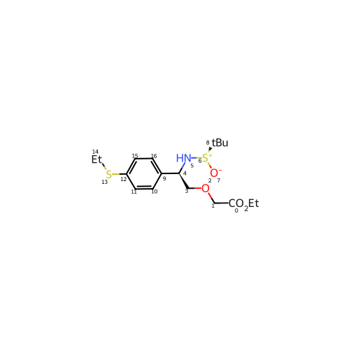 CCOC(=O)COC[C@H](N[S@+]([O-])C(C)(C)C)c1ccc(SCC)cc1